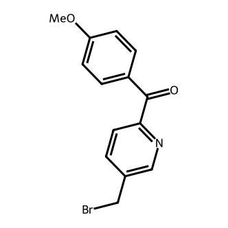 COc1ccc(C(=O)c2ccc(CBr)cn2)cc1